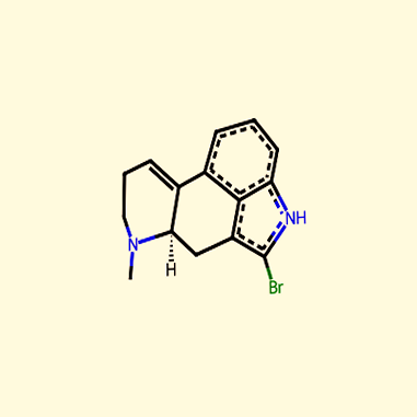 CN1CCC=C2c3cccc4[nH]c(Br)c(c34)C[C@H]21